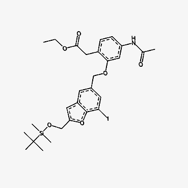 CCOC(=O)Cc1ccc(NC(C)=O)cc1OCc1cc(I)c2oc(CO[Si](C)(C)C(C)(C)C)cc2c1